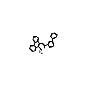 C/N=C/c1c(/C=C(\C)c2cccc(-c3ccccc3)c2)c2ccccc2c2ccccc12